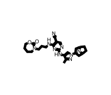 Cc1nn(C2CC3CCC(C2)N3C)cc1Nc1ncc(C#N)c(NCCCN2CCCCOC2=O)n1